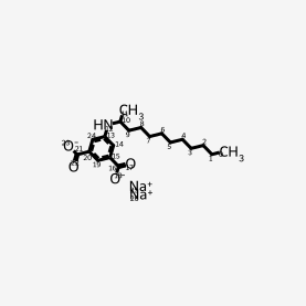 CCCCCCCCCCC(C)Nc1cc(C(=O)[O-])cc(C(=O)[O-])c1.[Na+].[Na+]